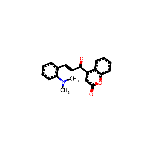 CN(C)c1ccccc1C=CC(=O)c1cc(=O)oc2ccccc12